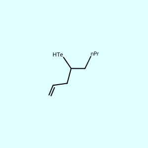 C=CCC([TeH])CCCC